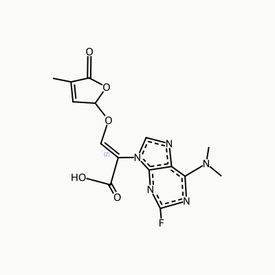 CC1=CC(O/C=C(/C(=O)O)n2cnc3c(N(C)C)nc(F)nc32)OC1=O